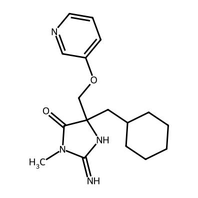 CN1C(=N)NC(COc2cccnc2)(CC2CCCCC2)C1=O